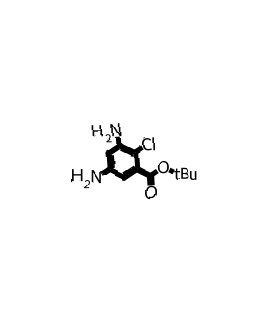 CC(C)(C)OC(=O)c1cc(N)cc(N)c1Cl